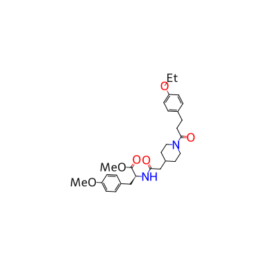 CCOc1ccc(CCC(=O)N2CCC(CC(=O)N[C@@H](Cc3ccc(OC)cc3)C(=O)OC)CC2)cc1